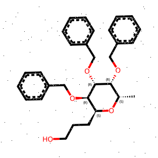 C[C@@H]1O[C@@H](CCCO)[C@@H](OCc2ccccc2)[C@H](OCc2ccccc2)[C@@H]1OCc1ccccc1